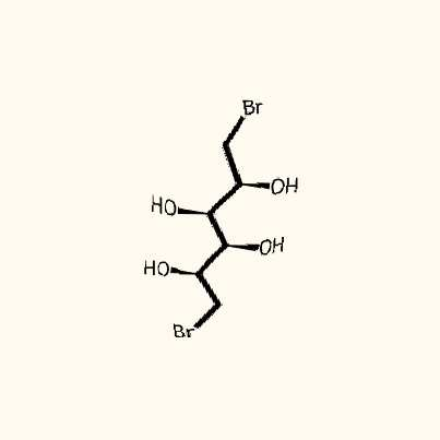 O[C@H]([C@@H](O)[C@H](O)CBr)[C@H](O)CBr